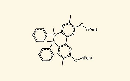 CCCCCOc1cc2c(cc1C)[Si](C)(c1ccccc1)[Si](C)(c1ccccc1)c1cc(C)c(OCCCCC)cc1-2